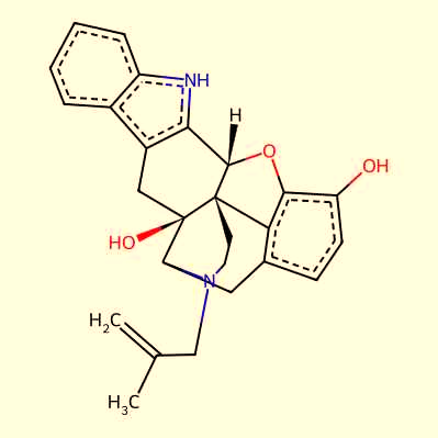 C=C(C)CN1CC[C@]23c4c5ccc(O)c4O[C@H]2c2[nH]c4ccccc4c2C[C@@]3(O)C1C5